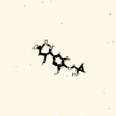 CC1CC(=O)NN=C1c1cc(F)c(OCC2(O)CC2)c(Br)c1